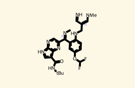 C/N=C(/c1cnc2[nH]cc(C(=O)NC(C)(C)C)c2n1)c1cc(OC(F)F)ccc1NC/C(C=N)=C/NC